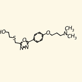 CN(C)CCCOc1ccc(-c2nnc(CSCCO)o2)cc1